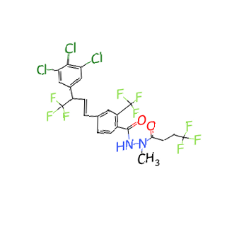 CN(NC(=O)c1ccc(C=CC(c2cc(Cl)c(Cl)c(Cl)c2)C(F)(F)F)cc1C(F)(F)F)C(=O)CCC(F)(F)F